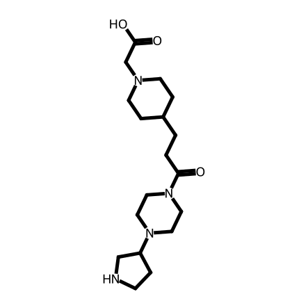 O=C(O)CN1CCC(CCC(=O)N2CCN(C3CCNC3)CC2)CC1